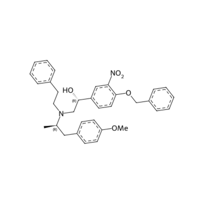 COc1ccc(C[C@@H](C)N(CCc2ccccc2)C[C@H](O)c2ccc(OCc3ccccc3)c([N+](=O)[O-])c2)cc1